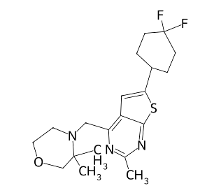 Cc1nc(CN2CCOCC2(C)C)c2cc(C3CCC(F)(F)CC3)sc2n1